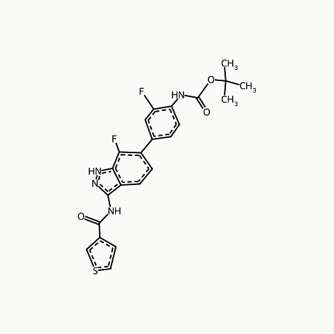 CC(C)(C)OC(=O)Nc1ccc(-c2ccc3c(NC(=O)c4ccsc4)n[nH]c3c2F)cc1F